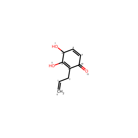 C=CCC1=C(O)C(O)C=CC1=O